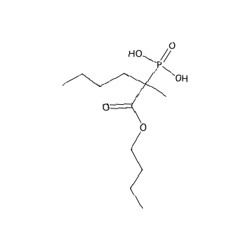 CCCCOC(=O)C(C)(CCCC)P(=O)(O)O